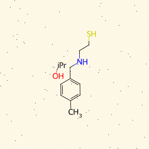 CC(C)O.Cc1ccc(CNCCS)cc1